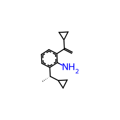 C=C(c1cccc([C@@H](C)C2CC2)c1N)C1CC1